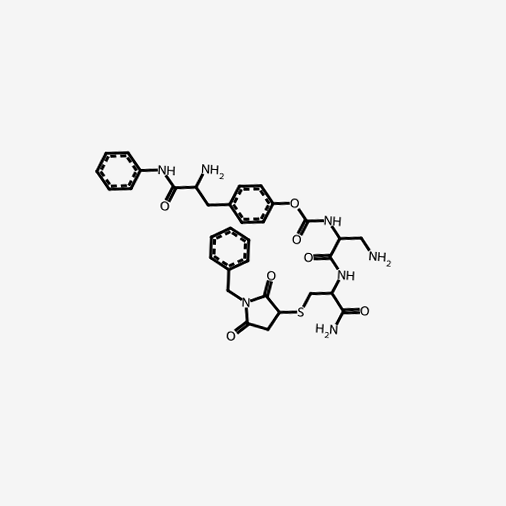 NCC(NC(=O)Oc1ccc(CC(N)C(=O)Nc2ccccc2)cc1)C(=O)NC(CSC1CC(=O)N(Cc2ccccc2)C1=O)C(N)=O